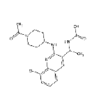 CC(=O)N1CCC(Nc2nc3c(Cl)cccc3cc2C(C)NC(=O)O)CC1